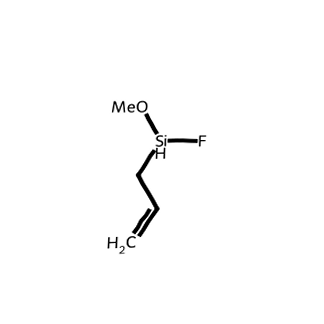 C=CC[SiH](F)OC